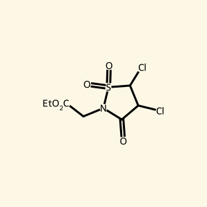 CCOC(=O)CN1C(=O)C(Cl)C(Cl)S1(=O)=O